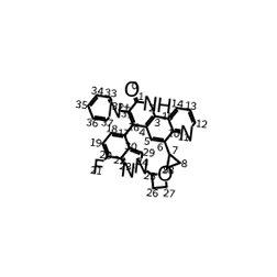 O=c1[nH]c2c(cc(C3CC3)c3ncccc32)c(-c2ccc(F)c3nn(C4CCO4)cc23)c1-[n+]1ccccc1